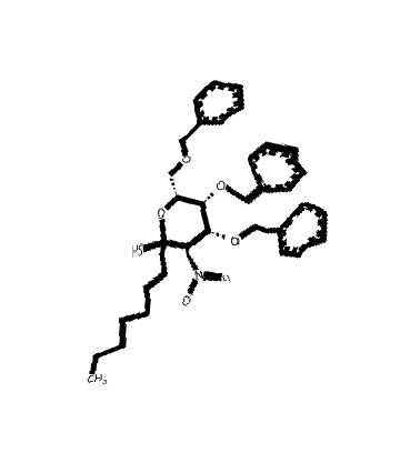 CCCCCCCC1(S)O[C@H](COCc2ccccc2)[C@H](OCc2ccccc2)[C@H](OCc2ccccc2)[C@H]1[N+](=O)[O-]